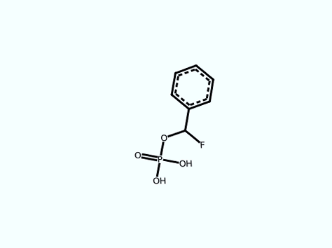 O=P(O)(O)OC(F)c1ccccc1